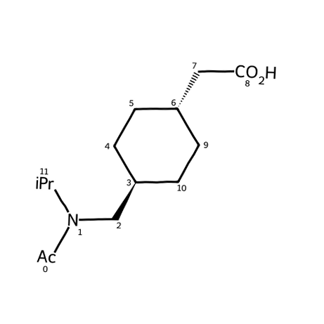 CC(=O)N(C[C@H]1CC[C@H](CC(=O)O)CC1)C(C)C